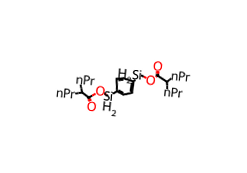 CCCC(CCC)C(=O)O[SiH2]c1ccc([SiH2]OC(=O)C(CCC)CCC)cc1